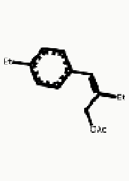 CCC(=Cc1ccc(CC)cc1)COC(C)=O